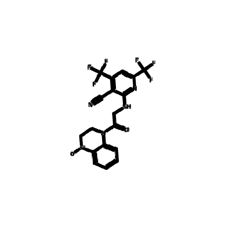 N#Cc1c(C(F)(F)F)cc(C(F)(F)F)nc1NCC(=O)N1CC[S+]([O-])c2ccccc21